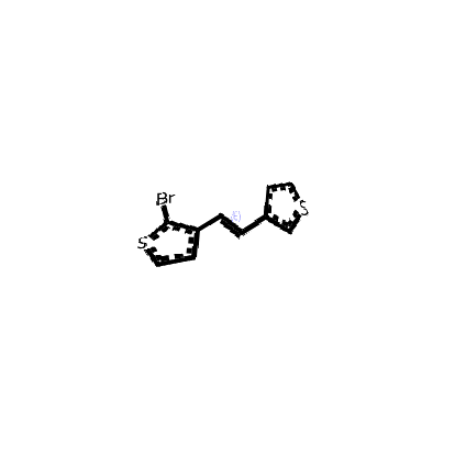 Brc1sccc1/C=C/c1ccsc1